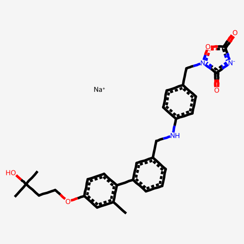 Cc1cc(OCCC(C)(C)O)ccc1-c1cccc(CNc2ccc(Cn3oc(=O)[n-]c3=O)cc2)c1.[Na+]